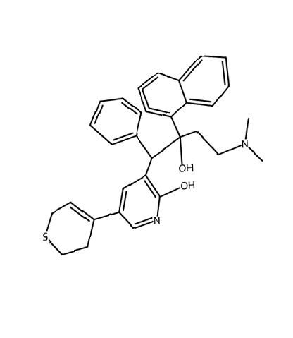 CN(C)CCC(O)(C1=C=C=Cc2ccccc21)C(c1ccccc1)c1cc(C2=CCSCC2)cnc1O